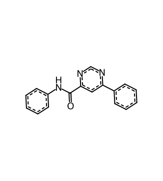 O=C(Nc1ccccc1)c1cc(-c2ccccc2)ncn1